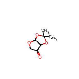 CC1(C)OC2OCC(=O)C2O1